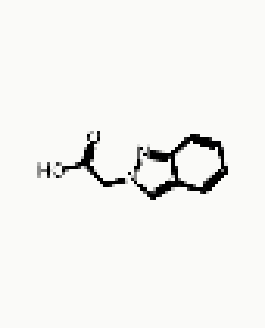 O=C(O)Cn1cc2ccccc2n1